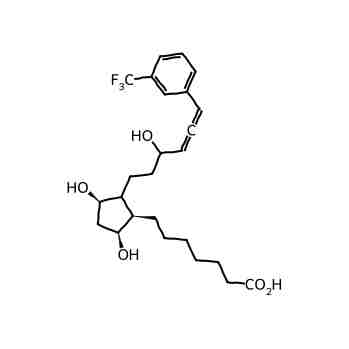 O=C(O)CCCCCC[C@@H]1C(CCC(O)C=C=Cc2cccc(C(F)(F)F)c2)[C@H](O)C[C@@H]1O